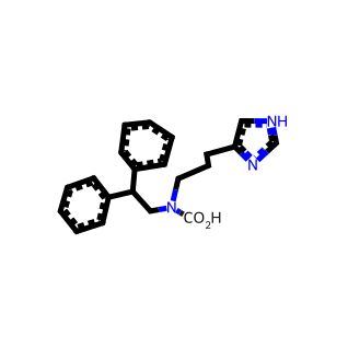 O=C(O)N(CCCc1c[nH]cn1)CC(c1ccccc1)c1ccccc1